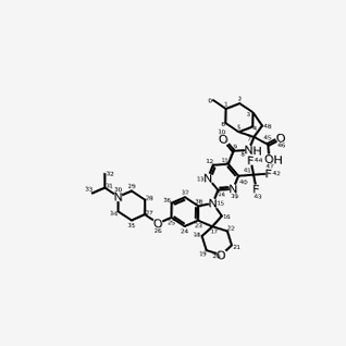 CC1CC2CC(C1)C(NC(=O)c1cnc(N3CC4(CCOCC4)c4cc(OC5CCN(C(C)C)CC5)ccc43)nc1C(F)(F)F)(C(=O)O)C2